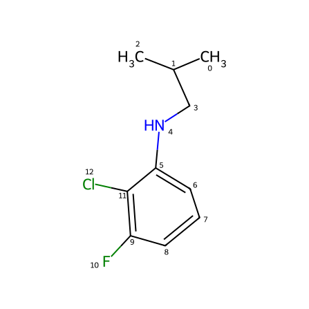 CC(C)CNc1cccc(F)c1Cl